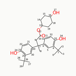 CC(C)(C)c1cc(C(C)(CC(=O)OC2CCC(O)CC2)c2ccc(O)c(C(C)(C)C)c2)ccc1O